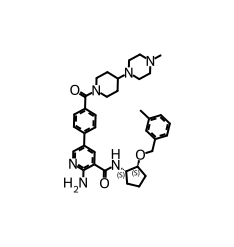 Cc1cccc(CO[C@H]2CCC[C@@H]2NC(=O)c2cc(-c3ccc(C(=O)N4CCC(N5CCN(C)CC5)CC4)cc3)cnc2N)c1